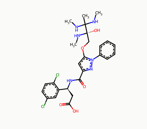 CNC(C)(NC)[C@@](O)(COc1cc(C(=O)N[C@@H](CC(=O)O)c2cc(Cl)ccc2Cl)nn1-c1ccccc1)NC